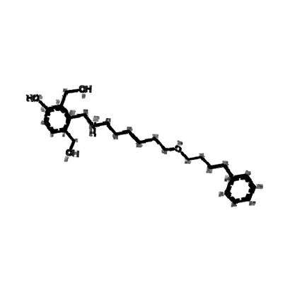 OCc1ccc(O)c(CO)c1CNCCCCCCOCCCCc1ccccc1